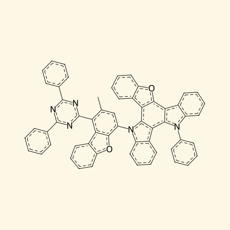 Cc1cc(-n2c3ccccc3c3c4c(c5ccccc5n4-c4ccccc4)c4oc5ccccc5c4c32)c2oc3ccccc3c2c1-c1nc(-c2ccccc2)nc(-c2ccccc2)n1